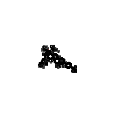 C=C(C)[C@H]1CC[C@]2(C(=O)NCC(O)CN)CCC3(C)[C@@H](CC[C@@H]4[C@@]5(C)CC=C(c6ccc(C(=O)O)cc6)C(C)(C)[C@@H]5CC[C@]43C)[C@]12C(=O)CNC